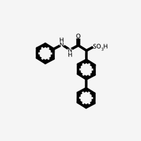 O=C(NNc1ccccc1)C(c1ccc(-c2ccccc2)cc1)S(=O)(=O)O